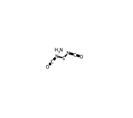 N.O=C=NSN=C=O